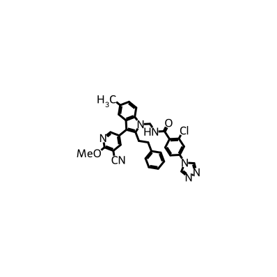 COc1ncc(-c2c(CCc3ccccc3)n(CNC(=O)c3ccc(-n4cnnc4)cc3Cl)c3ccc(C)cc23)cc1C#N